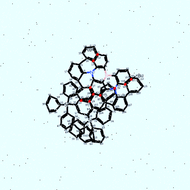 CC(C)(C)c1ccc2c(c1)N(c1c(-c3ccccc3)cccc1-c1ccccc1)c1cc(-c3cc([Si](c4ccccc4)(c4ccccc4)c4cccc(-c5ccccc5)c4)cc([Si](c4ccccc4)(c4ccccc4)c4cccc(-c5ccccc5)c4)c3)cc3c1B2c1ccc(C(C)(C)C)cc1N3c1c(-c2ccccc2)cccc1-c1ccccc1